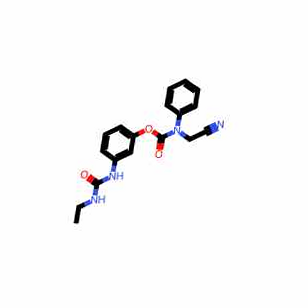 CCNC(=O)Nc1cccc(OC(=O)N(CC#N)c2ccccc2)c1